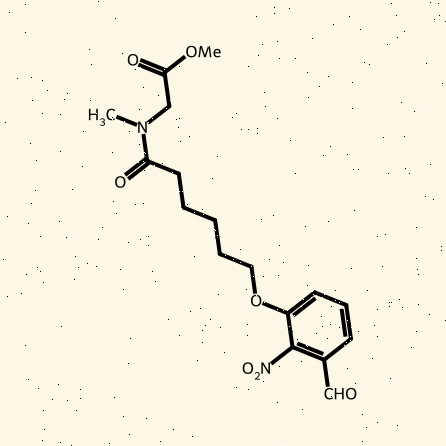 COC(=O)CN(C)C(=O)CCCCCOc1cccc(C=O)c1[N+](=O)[O-]